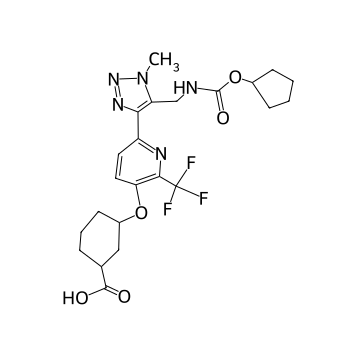 Cn1nnc(-c2ccc(OC3CCCC(C(=O)O)C3)c(C(F)(F)F)n2)c1CNC(=O)OC1CCCC1